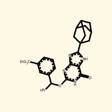 CCCC(Oc1nc2nc(C34CC5CC(C3)C(C5)C4)[nH]c2c(=O)[nH]1)c1cccc(C(=O)OCC)c1